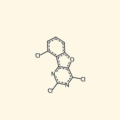 Clc1nc(Cl)c2oc3cccc(Cl)c3c2n1